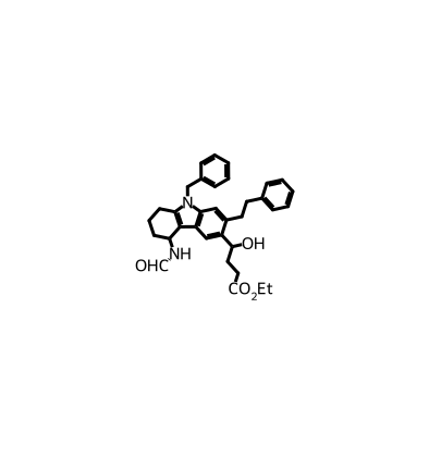 CCOC(=O)CCC(O)c1cc2c3c(n(Cc4ccccc4)c2cc1CCc1ccccc1)CCCC3NC=O